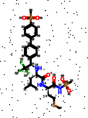 CSCC[C@H](NC(=O)[C@H](CC(C)C)N[C@@H](c1ccc(-c2ccc(S(C)(=O)=O)cc2)cc1)C(F)(F)F)C(=O)NS(C)(=O)=O